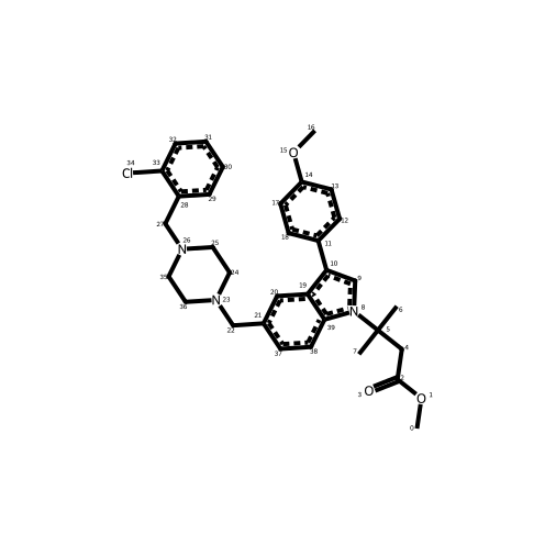 COC(=O)CC(C)(C)n1cc(-c2ccc(OC)cc2)c2cc(CN3CCN(Cc4ccccc4Cl)CC3)ccc21